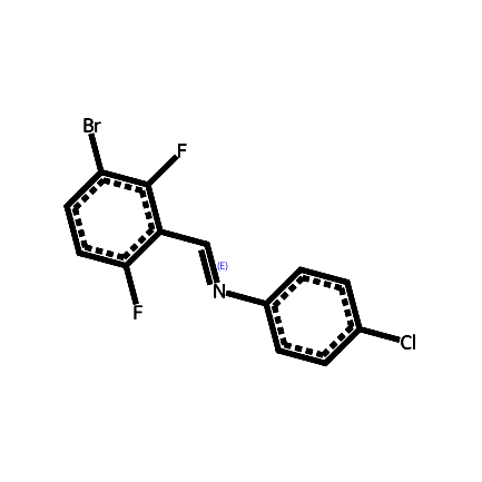 Fc1ccc(Br)c(F)c1/C=N/c1ccc(Cl)cc1